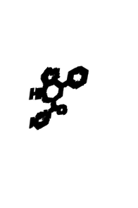 O=C(C1CNc2ccsc2C(c2ccccc2)C1)n1ccnc1